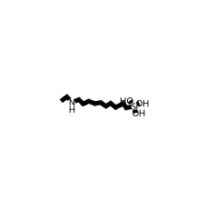 CCNCCCCCCCCCC[Si](O)(O)O